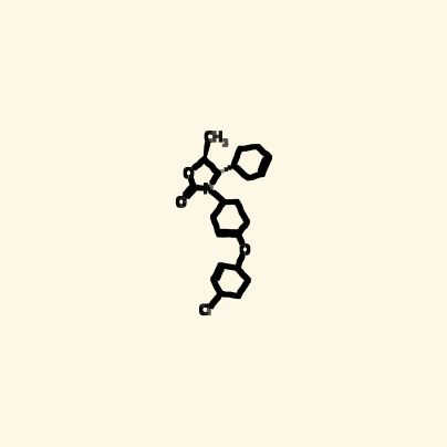 C[C@@H]1OC(=O)N(C2CC=C(OC3C=CC(Cl)CC3)CC2)[C@H]1C1CC=CCC1